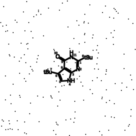 CC(C)(C)c1nc2[nH]cc(C(C)(C)C)c2c(=O)[nH]1